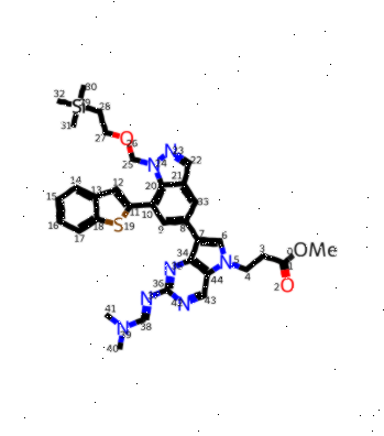 COC(=O)CCn1cc(-c2cc(-c3cc4ccccc4s3)c3c(cnn3COCC[Si](C)(C)C)c2)c2nc(/N=C/N(C)C)ncc21